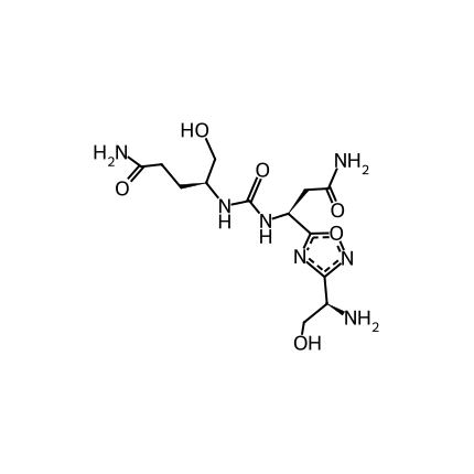 NC(=O)CC[C@@H](CO)NC(=O)N[C@@H](CC(N)=O)c1nc([C@@H](N)CO)no1